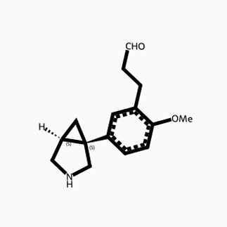 COc1ccc([C@@]23CNC[C@H]2C3)cc1CCC=O